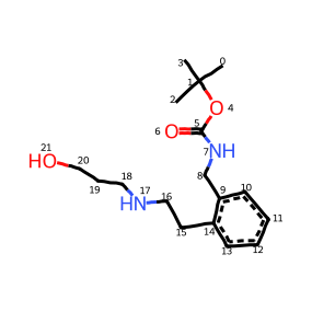 CC(C)(C)OC(=O)NCc1ccccc1CCNCCCO